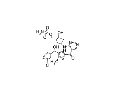 Cc1sc(C(=O)c2cncnc2N[C@@H]2C[C@H](COS(N)(=O)=O)[C@@H](O)C2)cc1[C@@H](O)c1cccc(Cl)c1